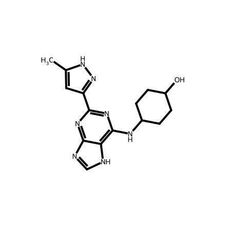 Cc1cc(-c2nc(NC3CCC(O)CC3)c3[nH]cnc3n2)n[nH]1